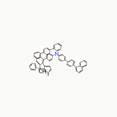 CC1(c2ccccc2)c2ccccc2-c2c(-c3ccc(N(c4ccc(-c5ccc(-c6cccc7ccccc67)cc5)cc4)c4ccccc4-c4ccc(-c5ccccc5)cc4)cc3)cccc21